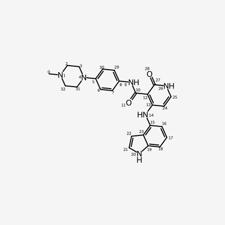 CN1CCN(c2ccc(NC(=O)c3c(Nc4cccc5[nH]ccc45)cc[nH]c3=O)cc2)CC1